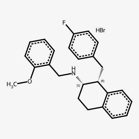 Br.COc1ccccc1CN[C@H]1CCc2ccccc2[C@H]1Cc1ccc(F)cc1